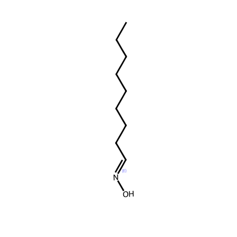 CCCCCCCC/C=N/O